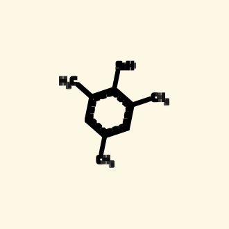 Cc1cc(C)[c]([SnH])c(C)c1